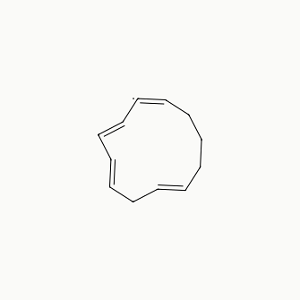 [C]1=C\CCC/C=C/C/C=C/C=C/1